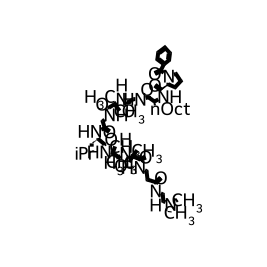 CCCCCCCC[C@H](NC(=O)[C@@H]1CCCN1C(=O)c1ccccc1)C(=O)NCC(=O)NC(C)(C)C(=O)NCC(=O)N[C@@H](CC(C)C)C(=O)NC(C)(C)C(=O)NC(C)(C)C(=O)NCCC(=O)NCCN(C)C